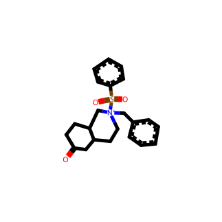 O=C1CCC2C[N+](Cc3ccccc3)(S(=O)(=O)c3ccccc3)CCC2C1